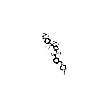 COc1ccc(C(C)(C)c2csc(NC(=O)c3cccc(CN4CCNCC4)c3)n2)cc1